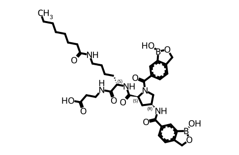 CCCCCCCC(=O)NCCCC[C@H](NC(=O)[C@@H]1C[C@@H](NC(=O)c2ccc3c(c2)B(O)OC3)CN1C(=O)c1ccc2c(c1)B(O)OC2)C(=O)NCCC(=O)O